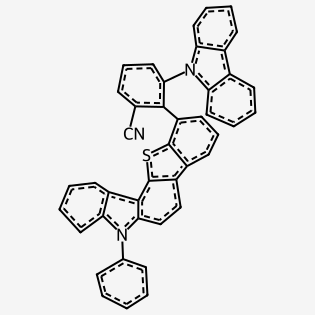 N#Cc1cccc(-n2c3ccccc3c3ccccc32)c1-c1cccc2c1sc1c2ccc2c1c1ccccc1n2-c1ccccc1